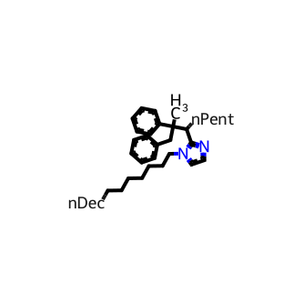 CCCCCCCCCCCCCCCCCn1ccnc1C(CCCCC)C(C)(Cc1ccccc1)c1ccccc1